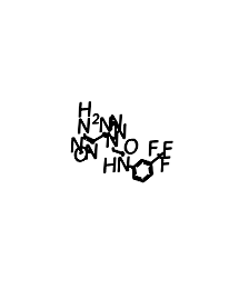 Nc1nonc1-c1nnnn1CC(=O)Nc1cccc(C(F)(F)F)c1